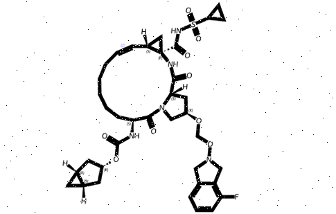 O=C(N[C@H]1CCCCC/C=C\[C@@H]2C[C@@]2(C(=O)NS(=O)(=O)C2CC2)NC(=O)[C@@H]2C[C@@H](OCON3Cc4cccc(F)c4C3)CN2C1=O)O[C@@H]1C[C@@H]2C[C@@H]2C1